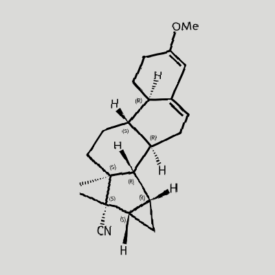 COC1=CC2=CC[C@@H]3[C@H](CC[C@@]4(C)[C@H]3[C@@H]3C[C@@H]3[C@]4(C)C#N)[C@H]2CC1